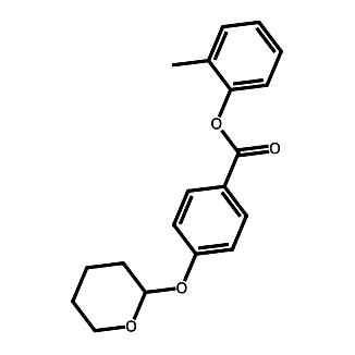 Cc1ccccc1OC(=O)c1ccc(OC2CCCCO2)cc1